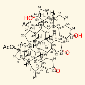 CC(=O)O[C@]1(C(C)=O)CC[C@H]2[C@@H]3C[C@H](C)C4=CC(=O)CC[C@]4(C)[C@H]3CC[C@@]21C.CC(=O)[C@H]1CC[C@H]2[C@@H]3CCC4=CC(=O)CC[C@]4(C)[C@H]3CC[C@]12C.C[C@]12CC[C@@H]3c4ccc(O)cc4CC[C@H]3[C@@H]1CC[C@@H]2O